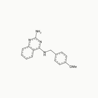 COc1ccc(CNc2nc(N)nc3ccccc23)cc1